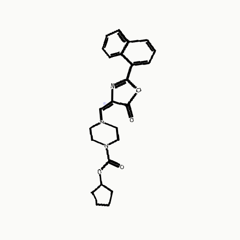 O=C1OC(c2cccc3ccccc23)=N/C1=C/N1CCN(C(=O)OC2CCCC2)CC1